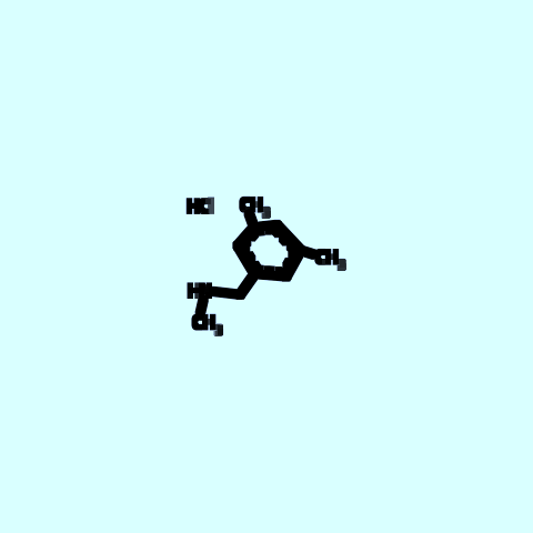 CNCc1cc(C)cc(C)c1.Cl